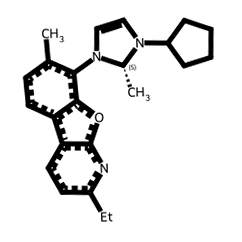 CCc1ccc2c(n1)oc1c(N3C=CN(C4CCCC4)[C@@H]3C)c(C)ccc12